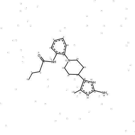 CCCC(=O)Nc1ccccc1N1CCC(c2[nH]c(N)nc2C)CC1